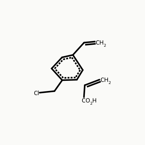 C=CC(=O)O.C=Cc1ccc(CCl)cc1